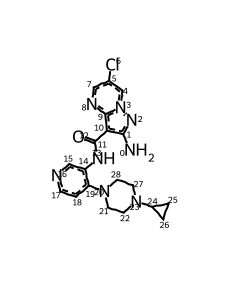 Nc1nn2cc(Cl)cnc2c1C(=O)Nc1cnccc1N1CCN(C2CC2)CC1